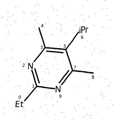 CCc1nc(C)c(C(C)C)c(C)n1